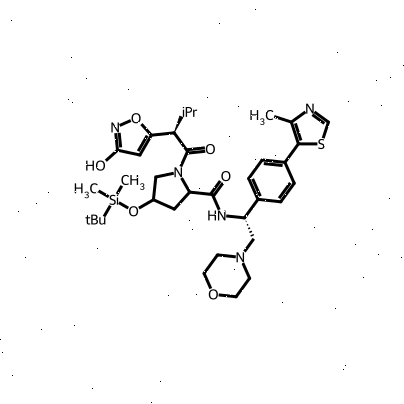 Cc1ncsc1-c1ccc([C@H](CN2CCOCC2)NC(=O)C2CC(O[Si](C)(C)C(C)(C)C)CN2C(=O)[C@@H](c2cc(O)no2)C(C)C)cc1